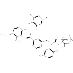 COc1ccc([C@H](Cc2c(Cl)c[n+]([O-])cc2Cl)OC(=O)c2cccc(CN(C(=O)O[C@H]3CN4CCC3CC4)c3cc(F)ccc3F)c2)cc1OC